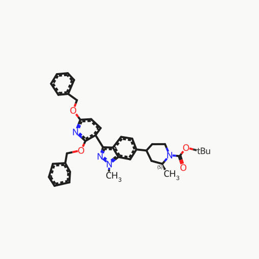 C[C@H]1CC(c2ccc3c(-c4ccc(OCc5ccccc5)nc4OCc4ccccc4)nn(C)c3c2)CCN1C(=O)OC(C)(C)C